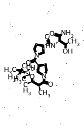 C[C@H](C(=O)N1CC[C@H](C(=O)N2CC[C@H](C(=O)N[C@H](C(N)=O)[C@@H](C)O)C2)C1)[C@@H](C)O[Si](C)(C)C(C)(C)C